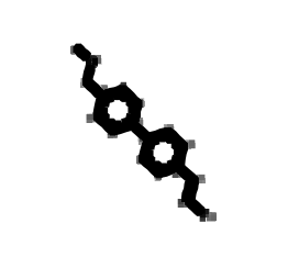 COCc1ccc(-c2ccc(C=CF)cc2)cc1